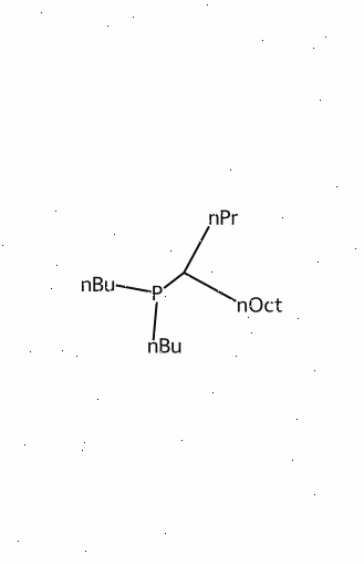 CCCCCCCCC(CCC)P(CCCC)CCCC